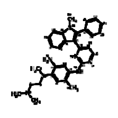 Cc1cc(N(C)CCN(C)C)c(N)cc1Nc1ncnc(-c2c(-c3ccccc3)n(C)c3ccccc23)n1